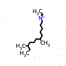 C/C=N/CCCCCC(C)CCCC(C)CC